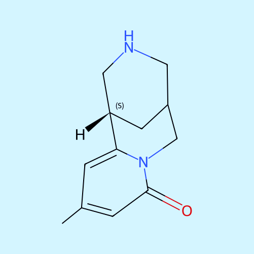 Cc1cc2n(c(=O)c1)CC1CNC[C@@H]2C1